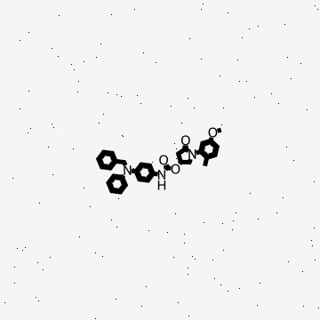 COc1ccc(C)c(N2CC(OC(=O)Nc3ccc(N(Cc4ccccc4)c4ccccc4)cc3)CC2=O)c1